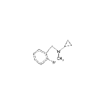 CN(Cc1ccccc1Br)C1CC1